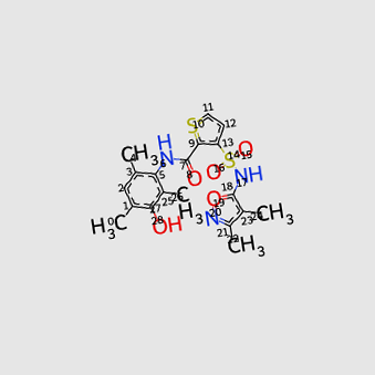 Cc1cc(C)c(NC(=O)c2sccc2S(=O)(=O)Nc2onc(C)c2C)c(C)c1O